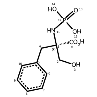 O=C(O)[C@](CO)(Cc1ccccc1)NP(=O)(O)O